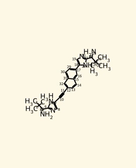 CC(C)(C)[C@H](N)c1ncc(C#Cc2ccc3cc(-c4cnc([C@@H](N)C(C)(C)C)[nH]4)ccc3c2)[nH]1